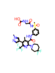 Cc1c(C(=O)Nc2cccc(S(C)(=O)=NC(=O)CNC(=O)O)c2)c(N2CCCC(F)(F)CC2)nc(C(F)(F)F)c1-c1cnn(C)c1